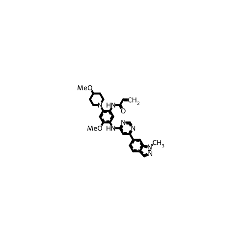 C=CC(=O)Nc1cc(Nc2cc(-c3ccc4cnn(C)c4c3)ncn2)c(OC)cc1N1CCC(OC)CC1